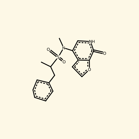 CC(Cc1ccccc1)S(=O)(=O)N(C)c1c[nH]c(=O)c2occc12